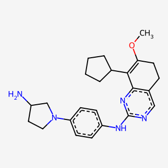 COC1=C(C2CCCC2)c2nc(Nc3ccc(N4CCC(N)C4)cc3)ncc2CC1